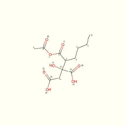 CCCCC(C(=O)OC(C)=O)C(O)(CC(=O)O)C(=O)O